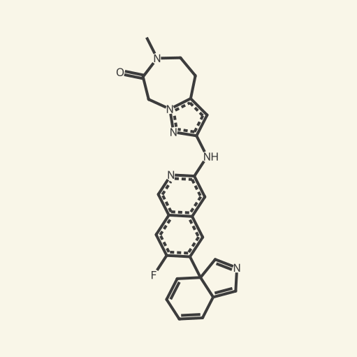 CN1CCc2cc(Nc3cc4cc(C56C=CC=CC5=CN=C6)c(F)cc4cn3)nn2CC1=O